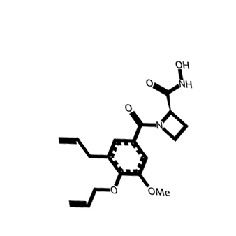 C=CCOc1c(CC=C)cc(C(=O)N2CC[C@@H]2C(=O)NO)cc1OC